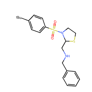 CC(C)(C)c1ccc(S(=O)(=O)N2CCSC2CNCc2ccccc2)cc1